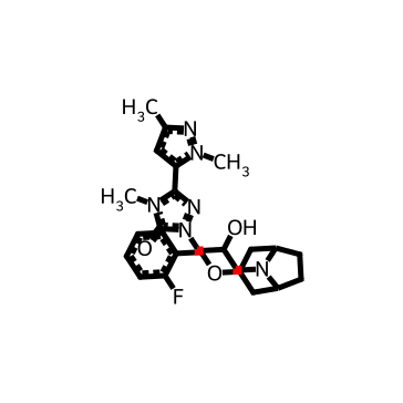 Cc1cc(-c2nn(CC(O)CN3C4CCC3CC(OCc3ccccc3F)C4)c(=O)n2C)n(C)n1